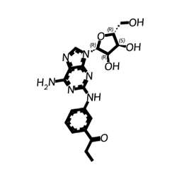 CCC(=O)c1cccc(Nc2nc(N)c3ncn([C@@H]4O[C@H](CO)[C@@H](O)[C@H]4O)c3n2)c1